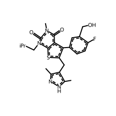 Cc1n[nH]c(C)c1Cc1sc2c(c1-c1ccc(F)c(CO)c1)c(=O)n(C)c(=O)n2CC(C)C